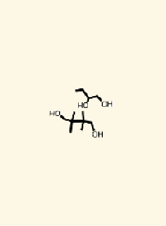 CC(C)(CO)C(C)(C)CO.CCC(O)CO